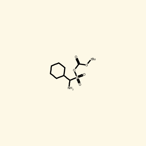 CC(C)(C)OC(=O)OS(=O)(=O)C(N)C1CCCCC1